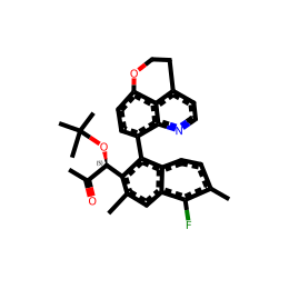 CC(=O)[C@@H](OC(C)(C)C)c1c(C)cc2c(F)c(C)ccc2c1-c1ccc2c3c(ccnc13)CCO2